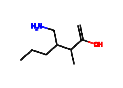 C=C(O)C(C)C(CN)CCC